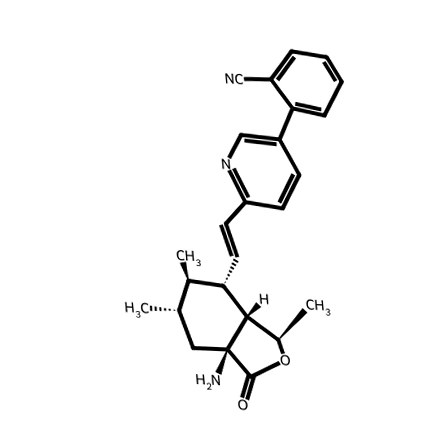 C[C@H]1[C@H](/C=C/c2ccc(-c3ccccc3C#N)cn2)[C@@H]2[C@@H](C)OC(=O)[C@]2(N)C[C@@H]1C